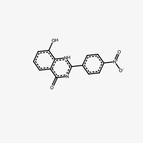 O=c1nc(-c2ccc([N+](=O)[O-])cc2)[nH]c2c(O)cccc12